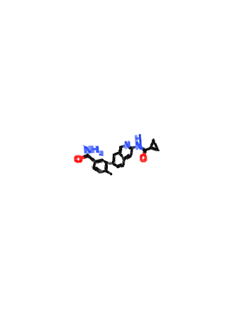 Cc1ccc(C(N)=O)cc1-c1ccc2cc(NC(=O)C3CC3)ncc2c1